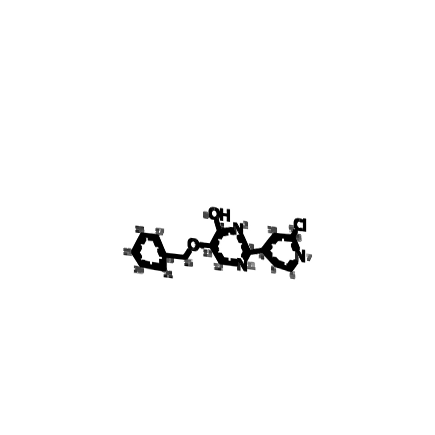 Oc1nc(-c2ccnc(Cl)c2)ncc1OCc1ccccc1